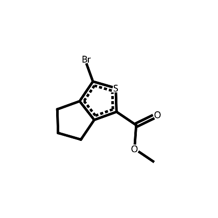 COC(=O)c1sc(Br)c2c1CCC2